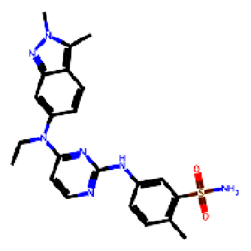 CCN(c1ccc2c(C)n(C)nc2c1)c1ccnc(Nc2ccc(C)c(S(N)(=O)=O)c2)n1